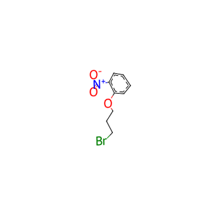 O=[N+]([O-])c1ccccc1OCCCBr